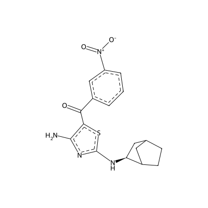 Nc1nc(N[C@H]2CC3CCC2C3)sc1C(=O)c1cccc([N+](=O)[O-])c1